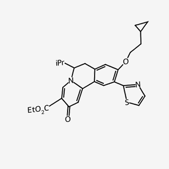 CCOC(=O)c1cn2c(cc1=O)-c1cc(-c3nccs3)c(OCCC3CC3)cc1CC2C(C)C